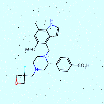 COc1cc(C)c2[nH]ccc2c1CN1CCN(CC2(F)COC2)C[C@H]1c1ccc(C(=O)O)cc1